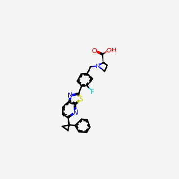 O=C(O)[C@H]1CCN1Cc1ccc(-c2nc3ccc(C4(c5ccccc5)CC4)nc3s2)c(F)c1